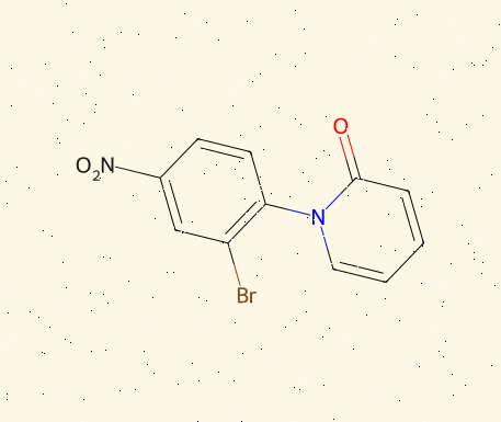 O=c1ccccn1-c1ccc([N+](=O)[O-])cc1Br